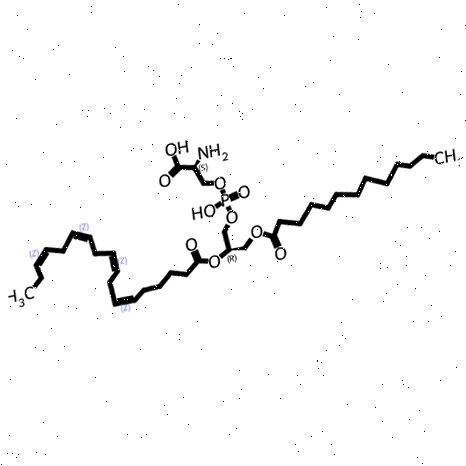 CC/C=C\C/C=C\C/C=C\C/C=C\CCCCC(=O)O[C@H](COC(=O)CCCCCCCCCCCC)COP(=O)(O)OC[C@H](N)C(=O)O